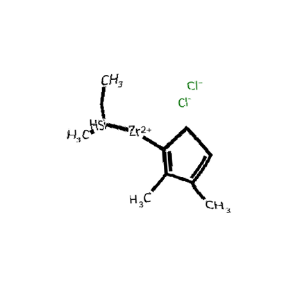 CC1=CC[C]([Zr+2][SiH](C)C)=C1C.[Cl-].[Cl-]